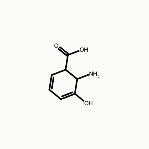 NC1C(O)=CC=CC1C(=O)O